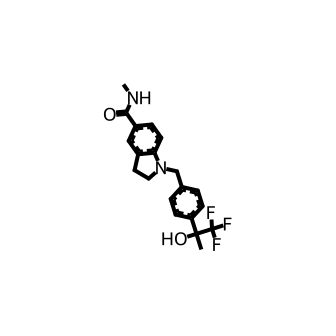 CNC(=O)c1ccc2c(c1)CCN2Cc1ccc(C(C)(O)C(F)(F)F)cc1